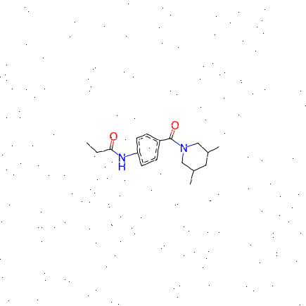 CCC(=O)Nc1ccc(C(=O)N2CC(C)CC(C)C2)cc1